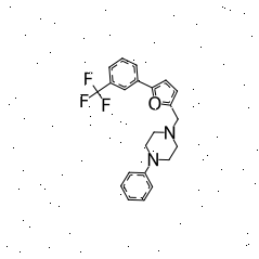 FC(F)(F)c1cccc(-c2ccc(CN3CCN(c4ccccc4)CC3)o2)c1